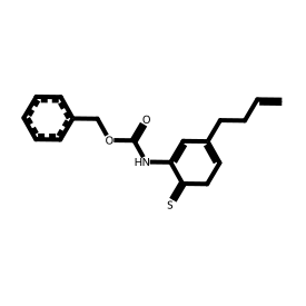 C=CCCC1=CCC(=S)C(NC(=O)OCc2ccccc2)=C1